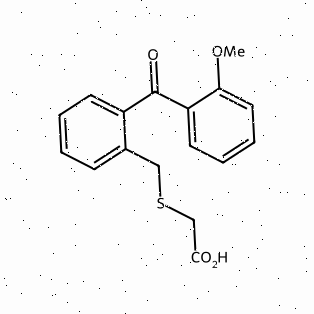 COc1ccccc1C(=O)c1ccccc1CSCC(=O)O